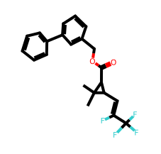 CC1(C)C(/C=C(\F)C(F)(F)F)C1C(=O)OCc1cccc(-c2ccccc2)c1